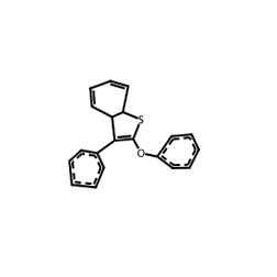 C1=CC2SC(Oc3ccccc3)=C(c3ccccc3)C2C=C1